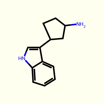 NC1CCC(c2c[nH]c3ccccc23)C1